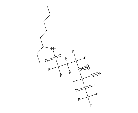 CCCCCC(CC)NS(=O)(=O)C(F)(F)C(F)(F)C(F)(F)S(=O)(=O)C(C)(C#N)S(=O)(=O)C(F)(F)F